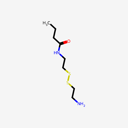 CCCC(=O)NCCSSCCN